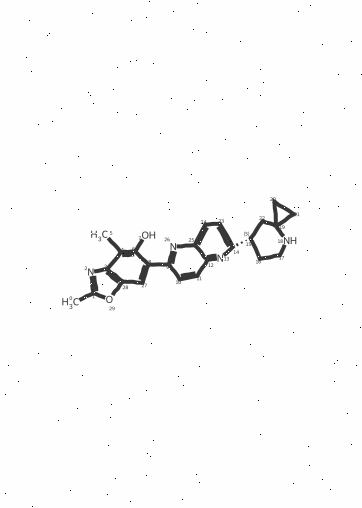 Cc1nc2c(C)c(O)c(-c3ccc4nc([C@H]5CCNC6(CC6)C5)ccc4n3)cc2o1